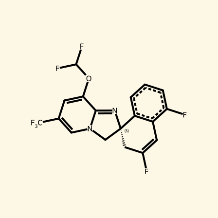 FC1=Cc2c(F)cccc2[C@@]2(C1)CN1C=C(C(F)(F)F)C=C(OC(F)F)C1=N2